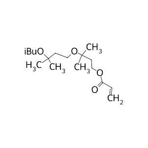 C=CC(=O)OCCC(C)(C)OCCC(C)(C)OCC(C)C